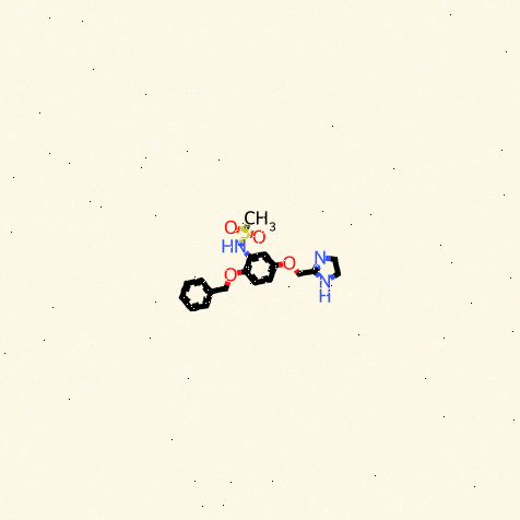 CS(=O)(=O)Nc1cc(OCC2=NCCN2)ccc1OCc1ccccc1